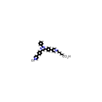 CC[n+]1ccc(-c2ccc(-c3cc(-c4ccc(-c5cc[n+](CCCCCC(=O)O)cc5)cc4)nc(-c4ccccc4)n3)cc2)cc1